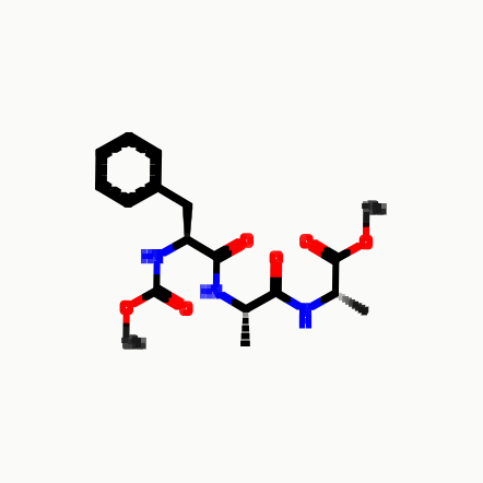 C[C@H](NC(=O)[C@H](Cc1ccccc1)NC(=O)OC(C)(C)C)C(=O)N[C@@H](C)C(=O)OC(C)(C)C